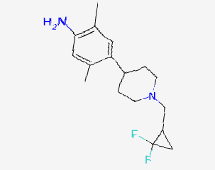 Cc1cc(C2CCN(CC3CC3(F)F)CC2)c(C)cc1N